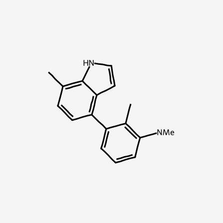 CNc1cccc(-c2ccc(C)c3[nH]ccc23)c1C